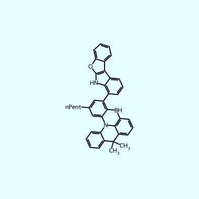 CCCCCc1cc(-c2cccc3c2[nH]c2oc4ccccc4c23)c2c(c1)N1c3ccccc3C(C)(C)c3cccc(c31)B2